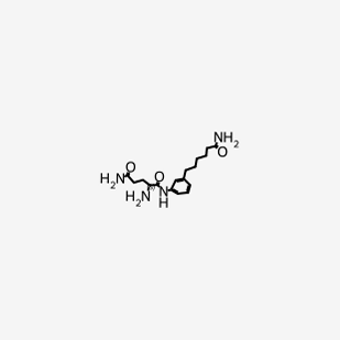 NC(=O)CCCCCc1cccc(NC(=O)[C@@H](N)CCC(N)=O)c1